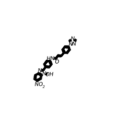 O=C(C=Cc1ccc(-n2cncn2)cc1)Nc1ccc(-c2nc3ccc([N+](=O)[O-])cc3n2O)cc1